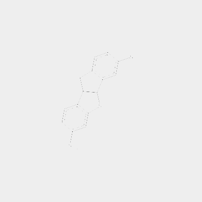 O=[N+]([O-])c1ccc2c(c1)NC1c3cc([N+](=O)[O-])ccc3CC21